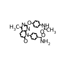 CC(=O)Nc1ccc(Oc2nc(C)c3ccc(=O)n(-c4ccc(C(N)=O)cc4)c3n2)cc1